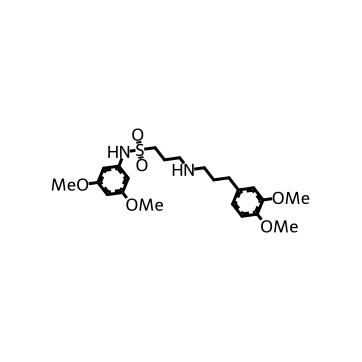 COc1cc(NS(=O)(=O)CCCNCCCc2ccc(OC)c(OC)c2)cc(OC)c1